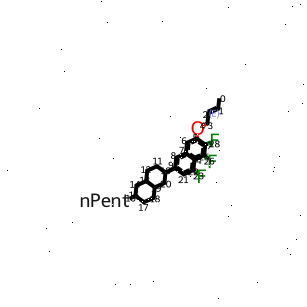 C/C=C/COc1cc2cc(C3CCC4CC(CCCCC)CCC4C3)cc(F)c2c(F)c1F